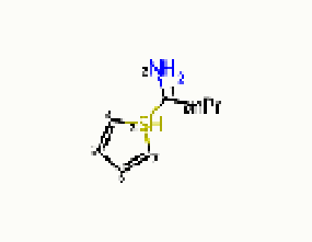 CCCC(N)[SH]1C=CC=C1